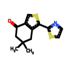 CC1(C)CC(=O)c2csc(-c3nccs3)c2C1